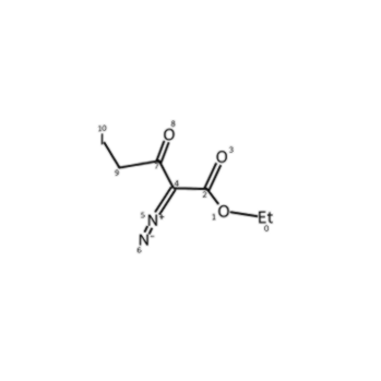 CCOC(=O)C(=[N+]=[N-])C(=O)CI